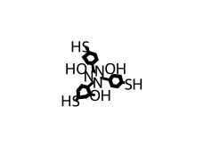 Oc1cc(S)ccc1-c1nc(-c2ccc(S)cc2O)nc(-c2ccc(S)cc2O)n1